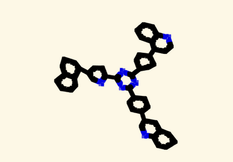 c1ccc2ncc(-c3ccc(-c4nc(-c5ccc(-c6ccnc7ccccc67)cc5)nc(-c5ccc(-c6cccc7ccccc67)cn5)n4)cc3)cc2c1